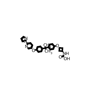 CC(C)(c1ccc(Oc2ccc(-n3cccn3)nc2)cc1)c1ccc(OC2CC(NC(=O)O)C2)cc1